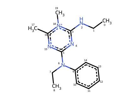 CCNc1nc(N(CC)c2ccccc2)nc(C)[n+]1C